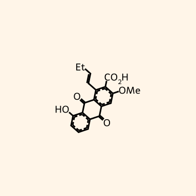 CC/C=C/c1c(C(=O)O)c(OC)cc2c1C(=O)c1c(O)cccc1C2=O